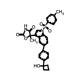 Cc1ccc(S(=O)(=O)n2cc(C3(C)OC(=O)NC3=O)c3cc(-c4ccc(C5(O)CCC5)cc4)ccc32)cc1